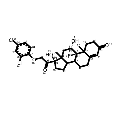 CC12C[C@H](O)[C@@]3(F)C(CCC4=CC(=O)CCC43C)C1CC[C@]2(O)C(=O)COc1ccc(Cl)cc1Cl